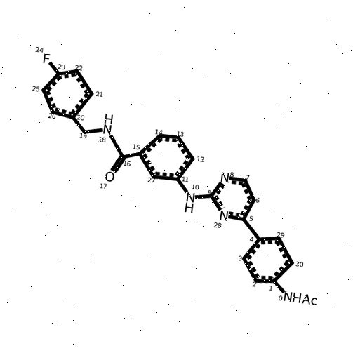 CC(=O)Nc1ccc(-c2ccnc(Nc3cccc(C(=O)NCc4ccc(F)cc4)c3)n2)cc1